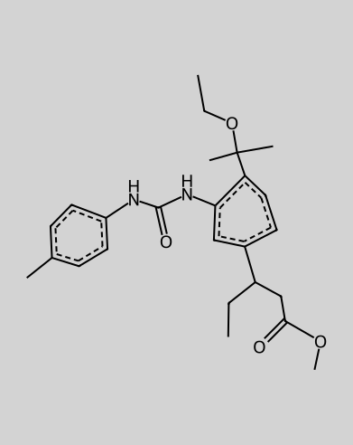 CCOC(C)(C)c1ccc(C(CC)CC(=O)OC)cc1NC(=O)Nc1ccc(C)cc1